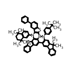 CC(C)(C)c1ccc(N2B3c4sc5ccc(-c6ccccc6)cc5c4N(c4ccc5c(c4)C(C)(C)CCC5(C)C)c4c3c(cc3c4oc4ccccc43)-c3cc4c(cc32)C(C)(C)c2ccccc2-4)cc1